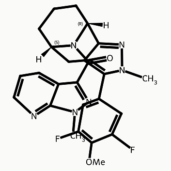 COc1c(F)cc(-c2c3c(nn2C)[C@H]2CCC[C@@H](C3)N2C(=O)c2nn(C)c3ncccc23)cc1F